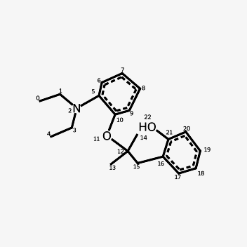 CCN(CC)c1ccccc1OC(C)(C)Cc1ccccc1O